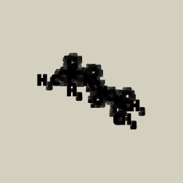 Cc1ccc(N(c2ccccc2)c2ccc3c(c2)c2cccc4c5cc6c(cc5n3c24)c2cccc3c4cc(N(c5ccccc5)c5ccc(C)cc5C)ccc4n6c32)c(C)c1